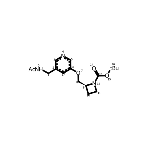 CC(=O)NCc1cncc(OC[C@@H]2CCN2C(=O)OC(C)(C)C)c1